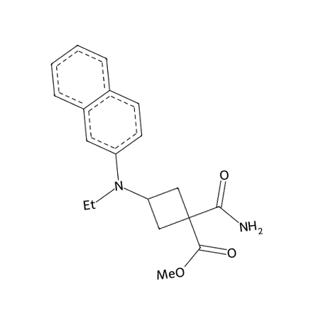 CCN(c1ccc2ccccc2c1)C1CC(C(N)=O)(C(=O)OC)C1